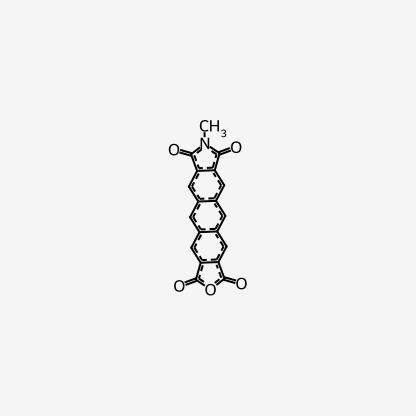 Cn1c(=O)c2cc3cc4cc5c(=O)oc(=O)c5cc4cc3cc2c1=O